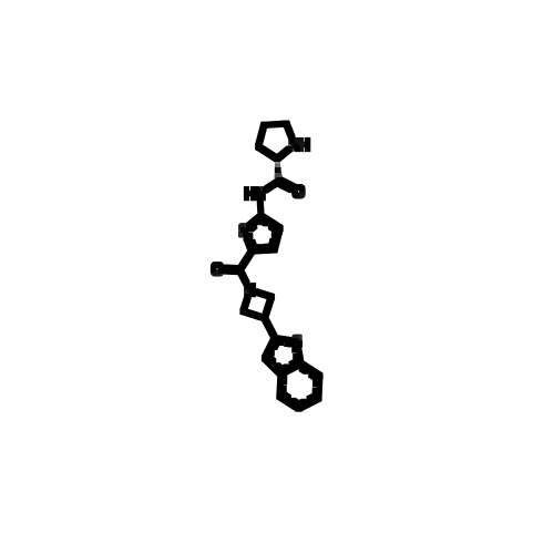 O=C(Nc1ccc(C(=O)N2CC(c3cc4ccccc4s3)C2)s1)[C@@H]1CCCN1